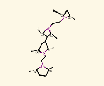 C[C@H]1CC[C@H](C)P1CCP1[C@@H](C)CC(C2[C@H](C)P(CCP3[C@@H](C)C[C@@H]3C)[C@H]2C)[C@@H]1C